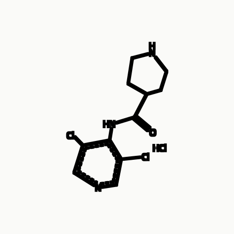 Cl.O=C(Nc1c(Cl)cncc1Cl)C1CCNCC1